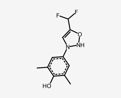 Cc1cc(N2C=C(C(F)F)ON2)cc(C)c1O